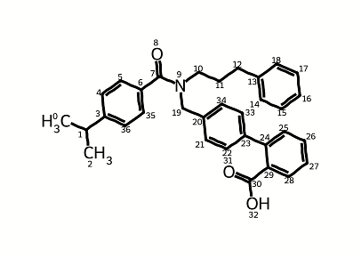 CC(C)c1ccc(C(=O)N(CCCc2ccccc2)Cc2ccc(-c3ccccc3C(=O)O)cc2)cc1